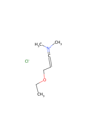 CCOCC=C=[N+](C)C.[Cl-]